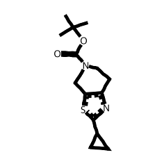 CC(C)(C)OC(=O)N1CCc2nc(C3CC3)sc2C1